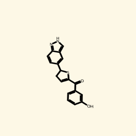 O=C(C1=CCC(c2ccc3n[nH]cc3c2)S1)c1cccc(O)c1